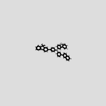 CC1(C)c2ccccc2-c2ccc(-c3ccc(N(c4cccc(-c5ccc6ccccc6c5)c4)c4ccc5oc6ccccc6c5c4)cc3)cc21